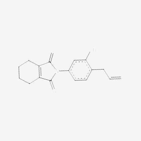 C=CCc1ccc(N2C(=O)C3=C(CCCC3)C2=O)cc1O